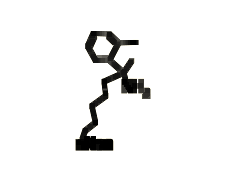 CCCCCCCCCCCCCCC(C)(N)c1ccccc1C